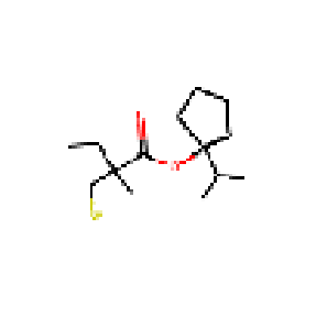 CCC(C)(CS)C(=O)OC1(C(C)C)CCCC1